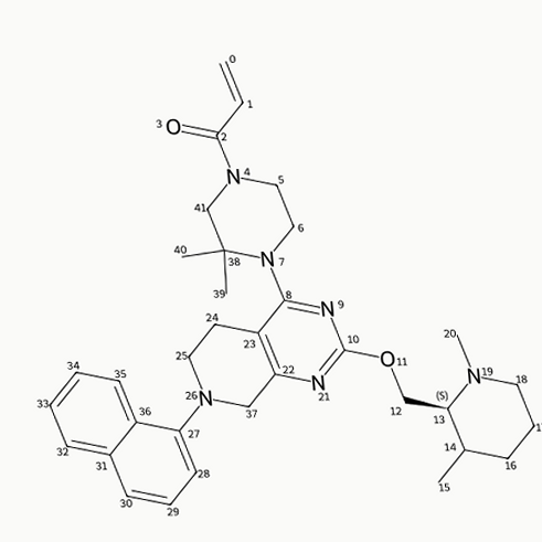 C=CC(=O)N1CCN(c2nc(OC[C@@H]3C(C)CCCN3C)nc3c2CCN(c2cccc4ccccc24)C3)C(C)(C)C1